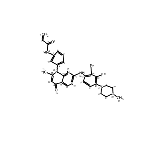 C=CC(=O)Nc1cccc(-n2c(C#N)cc(=O)c3cnc(Nc4ccc(N5CCN(C)CC5)c(F)c4F)nc32)c1